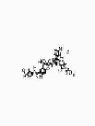 CC(ON=C(C(=O)NC1C(=O)N(OS(=O)(=O)O)C1(C)C)c1csc(N)n1)(C(=O)O)C1CCc2cc(C(=N)N[C@@H]3CN[C@H](CO)C3)ccc2O1